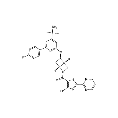 CCc1nc(-c2ncccn2)sc1C(=O)N1C[C@@H]2[C@H]1C[C@H]2Oc1cc(C(C)(C)N)cc(-c2ccc(F)cc2)n1